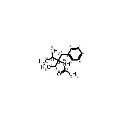 CCC(Cc1ccccc1)(NC(C)=O)C(C)C